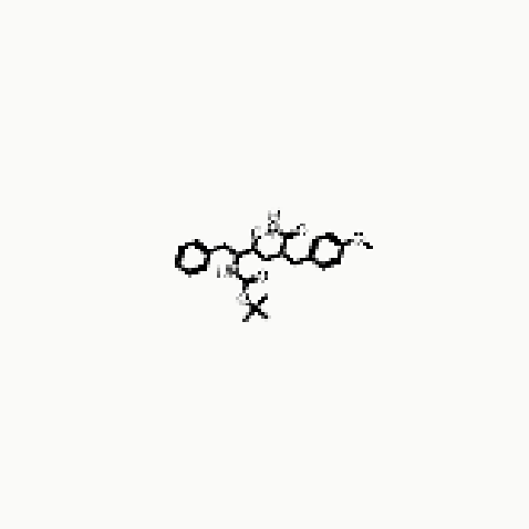 COc1ccc(CC(CC(O)C(Cc2ccccc2)NC(=O)OC(C)(C)C)C(=O)O)cc1